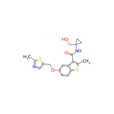 Cc1ncc(COc2ccc3sc(C)c(C(=O)NC4(CO)CC4)c3c2)s1